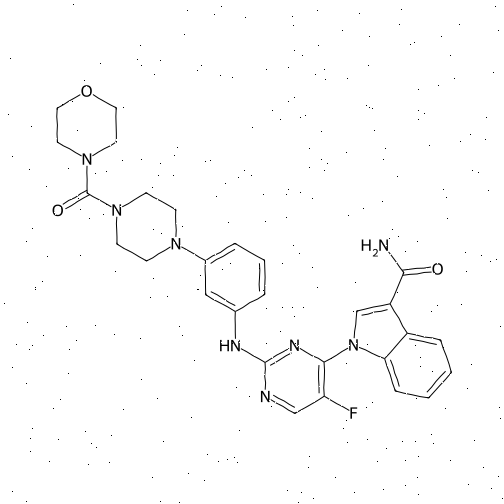 NC(=O)c1cn(-c2nc(Nc3cccc(N4CCN(C(=O)N5CCOCC5)CC4)c3)ncc2F)c2ccccc12